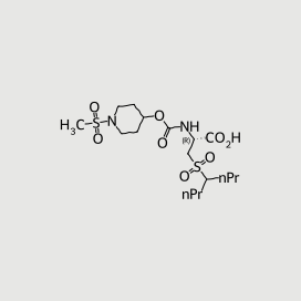 CCCC(CCC)S(=O)(=O)C[C@H](NC(=O)OC1CCN(S(C)(=O)=O)CC1)C(=O)O